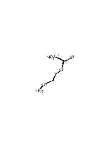 CCOCCOC(CC)C(=O)O